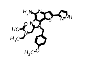 CCN(Cc1nc2c(N)nc3cc(-c4cc[nH]n4)sc3c2n1Cc1ccc(OC)cc1)C(=O)O